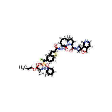 CCCOC(=O)[C@H](C)NP(=O)(Oc1ccccc1)C(F)c1ccc2sc(C(=O)N[C@H]3CCC[C@H]4CC[C@@H](C(=O)N5CC6(C5)OCc5ccncc56)N4C3=O)cc2c1